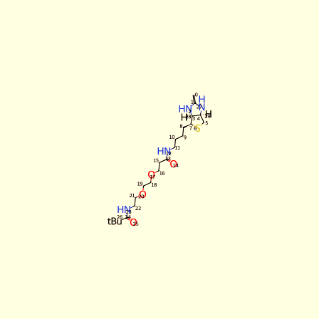 C=C1N[C@H]2[C@H](CS[C@H]2CCCCNC(=O)CCOCCOCCNC(=O)C(C)(C)C)N1